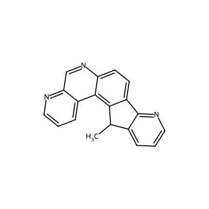 CC1c2cccnc2-c2ccc3ncc4ncccc4c3c21